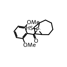 COc1cccc(OC)c1C(=O)[P]1(S)C2CCCCC1CC2